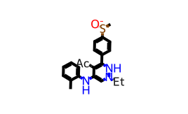 CCN1C=C(Nc2ccccc2C)C(C(C)=O)=C(c2ccc([S+](C)[O-])cc2)N1